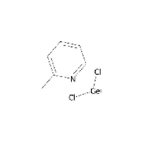 Cc1ccccn1.[Cl][Ge][Cl]